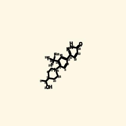 CC(O)C1CCN(c2ccc(-c3ccc(=O)[nH]n3)cc2C(F)(F)F)CC1